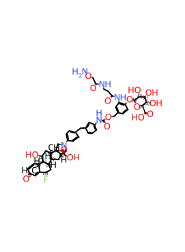 C[C@]12C=CC(=O)C=C1[C@@H](F)C[C@@H]1[C@@H]2[C@@H](O)C[C@@]2(C)[C@H]1C[C@H]1CN(c3ccc(Cc4cccc(NC(=O)OCc5ccc(O[C@@H]6O[C@H](C(=O)O)[C@@H](O)[C@H](O)[C@H]6O)c(NC(=O)CCNC(=O)CON)c5)c4)cc3)C[C@]12C(=O)CO